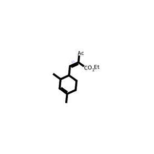 CCOC(=O)/C(=C\C1CCC(C)=CC1C)C(C)=O